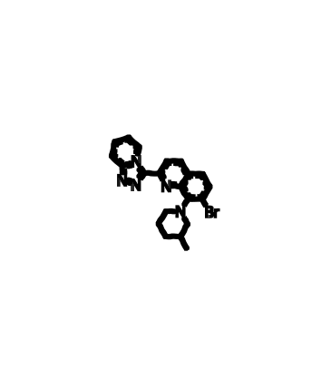 CC1CCCN(c2c(Br)ccc3ccc(-c4nnc5ccccn45)nc23)C1